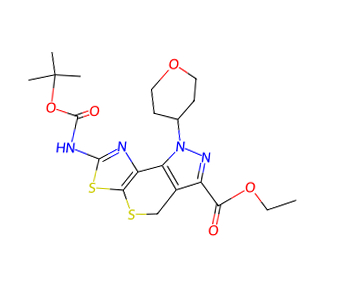 CCOC(=O)c1nn(C2CCOCC2)c2c1CSc1sc(NC(=O)OC(C)(C)C)nc1-2